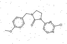 COc1ccc(CN2CCN(c3ccnc(Cl)n3)C2=O)cc1